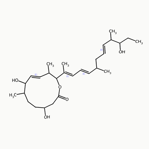 CCC(O)C(C)/C=C/CC(C)/C=C/C=C(\C)C1OC(=O)CC(O)CCC(C)C(O)/C=C/C1C